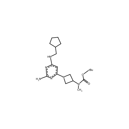 CN(C(=O)OC(C)(C)C)C1CN(c2cc(NCC3CCCC3)nc(N)n2)C1